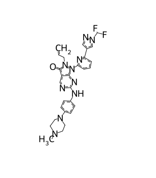 C=CCn1c(=O)c2cnc(Nc3ccc(N4CCN(C)CC4)cc3)nc2n1-c1cccc(-c2cnn(C(F)F)c2)n1